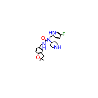 CC1(C)Cc2cc(CNC(=O)N(CC3C=CC(F)=CN3)C3CCNCC3)ccc2O1